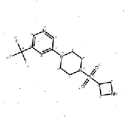 O=S(=O)(C1CNC1)N1CCN(c2cncc(C(F)(F)F)c2)CC1